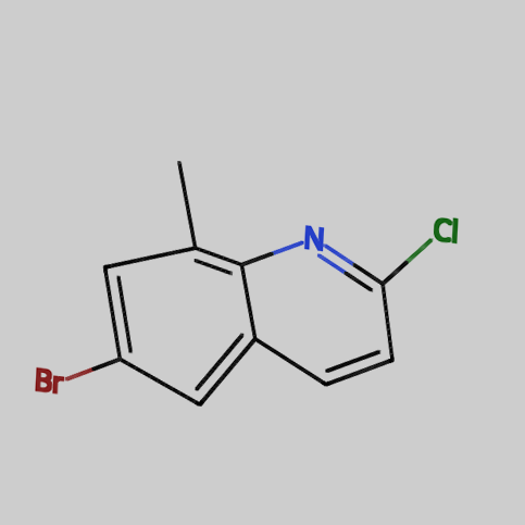 Cc1cc(Br)cc2ccc(Cl)nc12